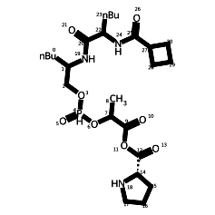 CCCCC(CO[PH](=O)OC(C)C(=O)OC(=O)[C@@H]1CCCN1)NC(=O)C(CCCC)NC(=O)C1CCC1